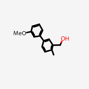 COc1cccc(-c2ccc(C)c(CO)c2)c1